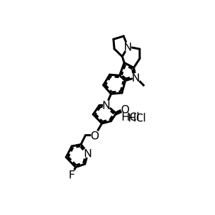 Cl.Cl.Cn1c2c(c3ccc(-n4ccc(OCc5ccc(F)cn5)cc4=O)cc31)C1CCCN1CC2